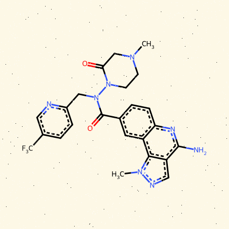 CN1CCN(N(Cc2ccc(C(F)(F)F)cn2)C(=O)c2ccc3nc(N)c4cnn(C)c4c3c2)C(=O)C1